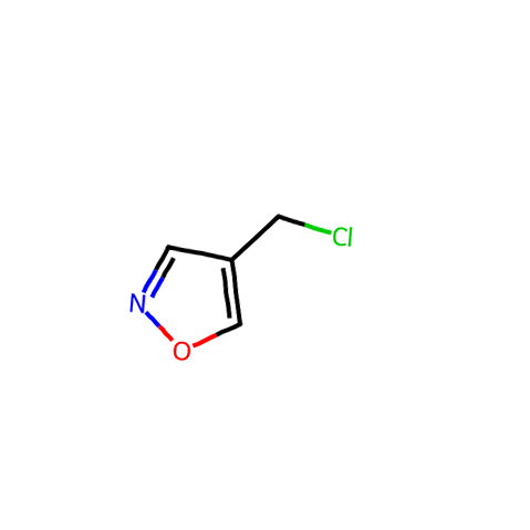 ClCc1cnoc1